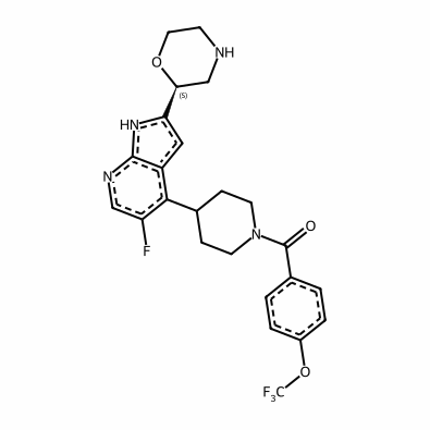 O=C(c1ccc(OC(F)(F)F)cc1)N1CCC(c2c(F)cnc3[nH]c([C@@H]4CNCCO4)cc23)CC1